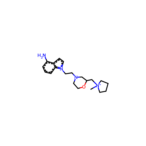 C[N+]1(CC2CN(CCn3ccc4c(N)cccc43)CCO2)CCCC1